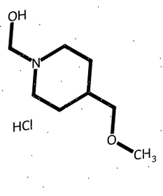 COCC1CCN(CO)CC1.Cl